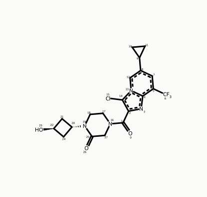 O=C(c1nc2c(C(F)(F)F)cc(C3CC3)cn2c1Cl)N1CCN([C@H]2C[C@H](O)C2)C(=O)C1